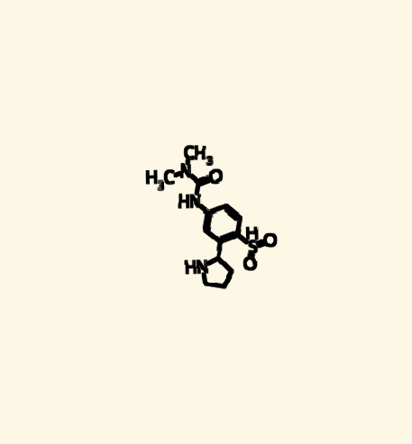 CN(C)C(=O)Nc1ccc([SH](=O)=O)c([C@H]2CCCN2)c1